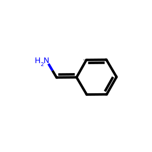 NC=C1[C]=CC=CC1